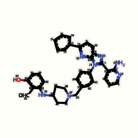 Nc1ncccc1-c1nc2ccc(-c3ccccc3)nc2n1-c1ccc(CN2CCC(Nc3cccc(O)c3C=O)CC2)cc1